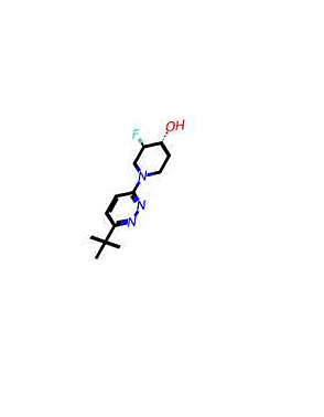 CC(C)(C)c1ccc(N2CC[C@@H](O)[C@H](F)C2)nn1